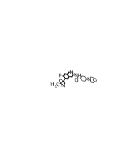 Cc1ncc(-c2cc3cc(NC(=O)[C@H]4CC[C@H](N5CCOCC5)CC4)ncc3cc2F)o1